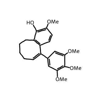 COc1ccc2c(c1O)CCCCC=C2c1cc(OC)c(OC)c(OC)c1